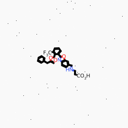 O=C(O)CCNCc1ccc2nc(-c3cccc(C(F)(F)F)c3C3OC=C(Cc4ccccc4)O3)oc2c1